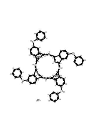 [Rh].c1ccc(Oc2ccc3c(c2)-c2nc-3nc3[nH]c(nc4nc(nc5[nH]c(n2)c2ccc(Oc6ccccc6)cc52)-c2ccc(Oc5ccccc5)cc2-4)c2ccc(Oc4ccccc4)cc32)cc1